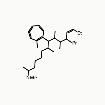 CC/C=C\C(C(C)C)C(C)C(C)C(C1=C(C)C=C=CC=C1)C(C)CCCCC(C)NC